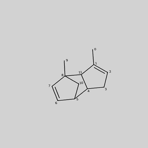 CC1=CCC2C3C=CC(C)(C3)C12